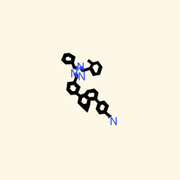 CC1CC=CC=C1c1nc(-c2ccccc2)nc(-c2cccc(-c3cc4c(c5c(-c6ccc(C#N)cc6)cccc35)C4)c2)n1